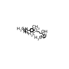 Cc1cc(-c2nnn(C)n2)cc(C)c1OCCCC(O)c1nccn1C